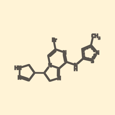 Cc1cc(NC2=NC(Br)=CN3C2=NCC3C2C=NNC2)sn1